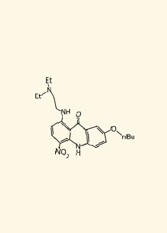 CCCCOc1ccc2[nH]c3c([N+](=O)[O-])ccc(NCCN(CC)CC)c3c(=O)c2c1